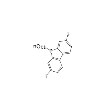 CCCCCCCCp1c2cc(I)ccc2c2ccc(I)cc21